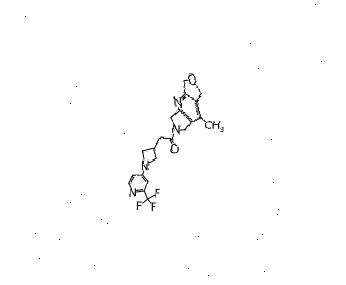 Cc1c2c(nc3c1CN(C(=O)CC1CN(c4ccnc(C(F)(F)F)c4)C1)C3)COC2